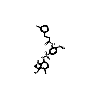 CCSc1ccc(S(=O)(=O)Nc2ccc(C)c3c(C#N)c[nH]c23)cc1NC(=O)CCc1cccc(F)c1